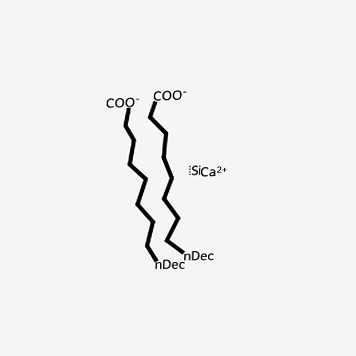 CCCCCCCCCCCCCCCCCC(=O)[O-].CCCCCCCCCCCCCCCCCC(=O)[O-].[Ca+2].[Si]